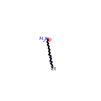 CC/C=C/C/C=C/C/C=C/CCCCCCCCCC(N)=O